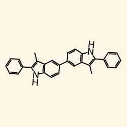 Cc1c(-c2ccccc2)[nH]c2ccc(-c3ccc4[nH]c(-c5ccccc5)c(C)c4c3)cc12